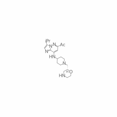 CC(=O)c1cc(NC2CCN(C[C@H]3CNCCO3)CC2)c2ncc(C(C)C)n2n1